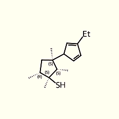 CCC1=CC([C@]2(C)C[C@@H](C)[C@](C)(S)[C@H]2C)C=C1